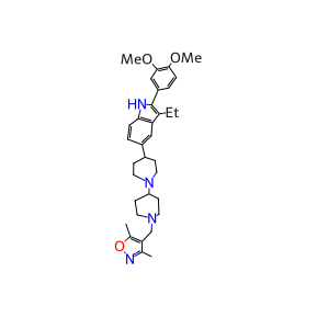 CCc1c(-c2ccc(OC)c(OC)c2)[nH]c2ccc(C3CCN(C4CCN(Cc5c(C)noc5C)CC4)CC3)cc12